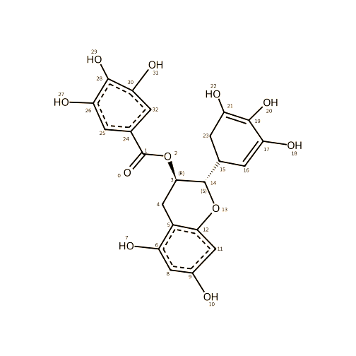 O=C(O[C@@H]1Cc2c(O)cc(O)cc2O[C@H]1C1C=C(O)C(O)=C(O)C1)c1cc(O)c(O)c(O)c1